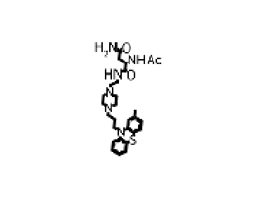 CC(=O)N[C@@H](CC(N)=O)C(=O)NCCN1CCN(CCCN2c3ccccc3Sc3ccc(C)cc32)CC1